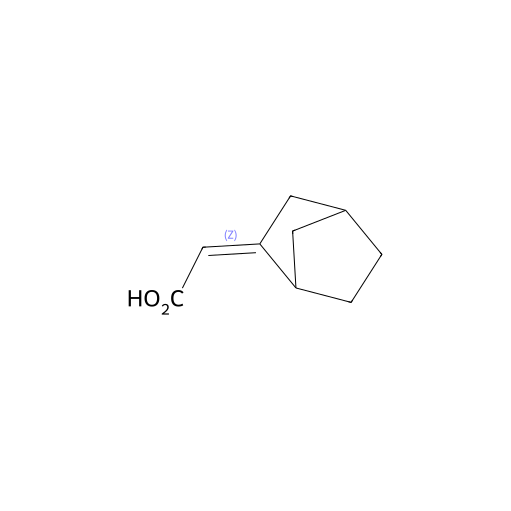 O=C(O)/C=C1/CC2CCC1C2